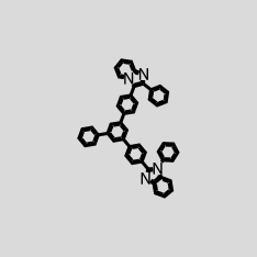 c1ccc(-c2cc(-c3ccc(-c4nc5ccccc5n4-c4ccccc4)cc3)cc(-c3ccc(-c4c(-c5ccccc5)nc5ccccn45)cc3)c2)cc1